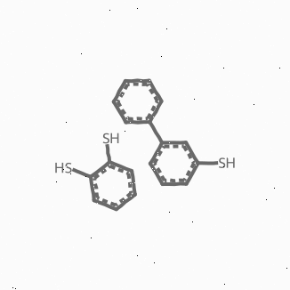 Sc1cccc(-c2ccccc2)c1.Sc1ccccc1S